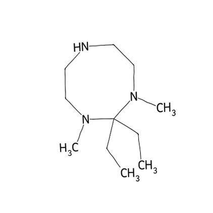 CCC1(CC)N(C)CCNCCN1C